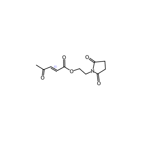 CC(=O)/C=C/C(=O)OCCN1C(=O)CCC1=O